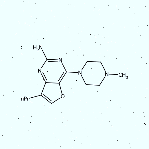 CCCc1coc2c(N3CCN(C)CC3)nc(N)nc12